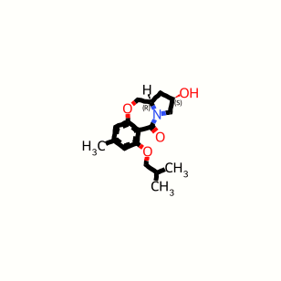 Cc1cc(OCC(C)C)c2c(c1)OC[C@H]1C[C@H](O)CN1C2=O